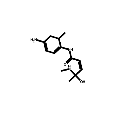 CNC(C)(O)/C=C\C(=O)NC1=CC=C(N)CC1C